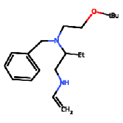 C=CNCC(CC)N(CCOC(C)(C)C)Cc1ccccc1